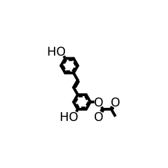 CC(=O)C(=O)Oc1cc(O)cc(C=Cc2ccc(O)cc2)c1